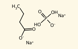 CCCC(=O)[O-].O=P([O-])(O)O.[Na+].[Na+]